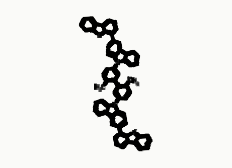 Cc1ccc(-n2c3ccccc3c3cc(-c4cccc5c4sc4ccccc45)ccc32)cc1-c1cc(-n2c3ccccc3c3cc(-c4cccc5c4sc4ccccc45)ccc32)ccc1C